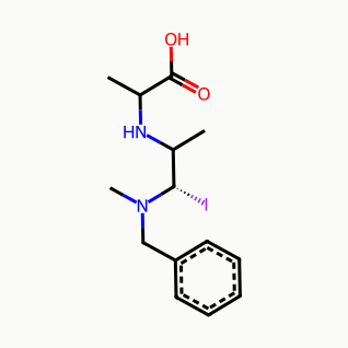 CC(NC(C)[C@H](I)N(C)Cc1ccccc1)C(=O)O